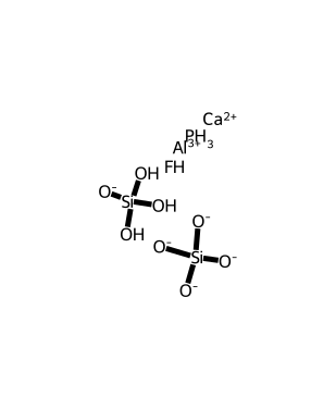 F.P.[Al+3].[Ca+2].[O-][Si](O)(O)O.[O-][Si]([O-])([O-])[O-]